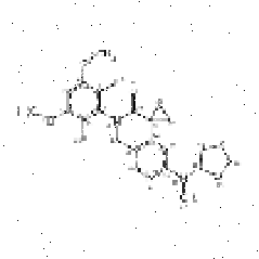 COc1cc(OC)c(F)c(N2Cc3cnc(N(C)[C@@H]4CCCO4)cc3C3(CC3)C2=O)c1F